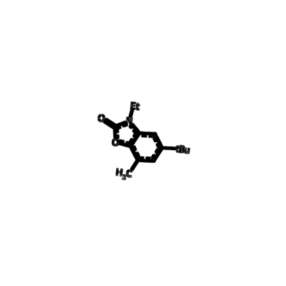 CCn1c(=O)oc2c(C)cc(C(C)(C)C)cc21